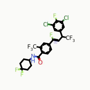 O=C(NC1CCC(F)(F)CC1)c1ccc(/C(F)=C/C(c2cc(Cl)c(F)c(Cl)c2)C(F)(F)F)cc1C(F)(F)F